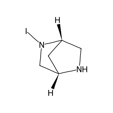 IN1C[C@@H]2C[C@H]1CN2